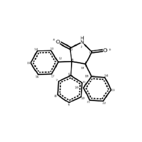 O=C1NC(=O)C(c2ccccc2)(c2ccccc2)C1c1ccccc1